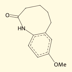 COc1ccc2c(c1)CCCCC(=O)N2